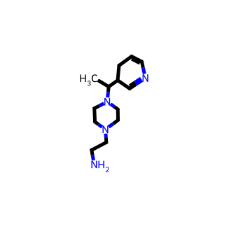 CC(C1C=NC=CC1)N1CCN(CCN)CC1